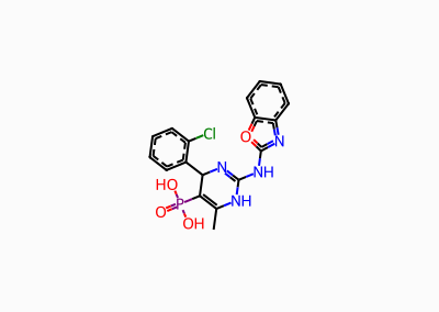 CC1=C(P(=O)(O)O)C(c2ccccc2Cl)N=C(Nc2nc3ccccc3o2)N1